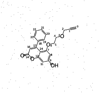 C#CCOCCOc1cc(O)cc2oc(=O)cc(-c3ccccc3)c12